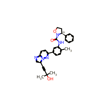 Cc1ccc(-c2ccc3ncc(C#CC(C)(C)O)n3n2)cc1NC(=O)N1OCC[C@H]1c1ccccc1